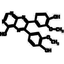 COc1cc(-c2nc3ncnc(O)c3nc2-c2ccc(O)c(OC)c2)ccc1O